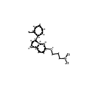 CCN(CC)CCCOc1ccc2ncc(-c3ccccc3C)n2n1